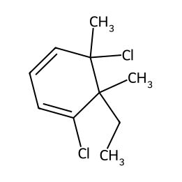 CCC1(C)C(Cl)=CC=CC1(C)Cl